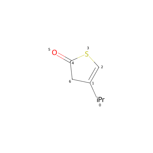 CC(C)C1=CSC(=O)C1